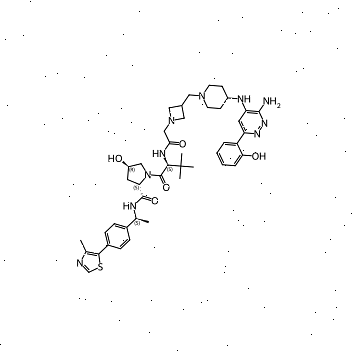 Cc1ncsc1-c1ccc([C@H](C)NC(=O)[C@@H]2C[C@@H](O)CN2C(=O)[C@@H](NC(=O)CN2CC(CN3CCC(Nc4cc(-c5ccccc5O)nnc4N)CC3)C2)C(C)(C)C)cc1